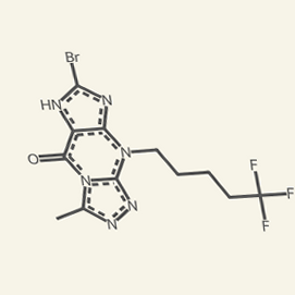 Cc1nnc2n(CCCCC(F)(F)F)c3nc(Br)[nH]c3c(=O)n12